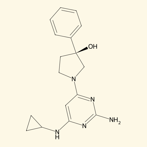 Nc1nc(NC2CC2)cc(N2CC[C@](O)(c3ccccc3)C2)n1